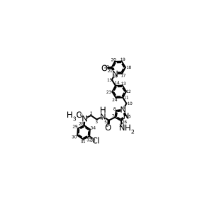 CN(CCNC(=O)c1cn(Cc2ccc(Cn3ccccc3=O)cc2)nc1N)c1cccc(Cl)c1